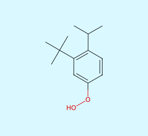 CC(C)c1ccc(OO)cc1C(C)(C)C